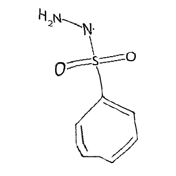 N[N]S(=O)(=O)c1ccccc1